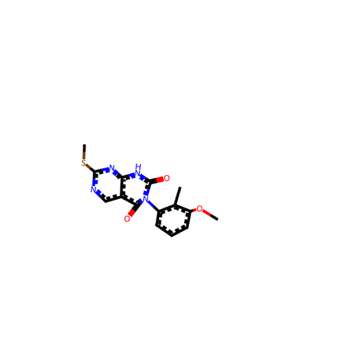 COc1cccc(-n2c(=O)[nH]c3nc(SC)ncc3c2=O)c1C